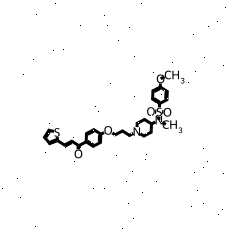 COc1ccc(S(=O)(=O)N(C)C2CCN(CCCOc3ccc(C(=O)/C=C/c4cccs4)cc3)CC2)cc1